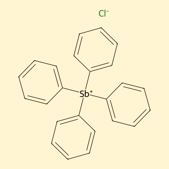 [Cl-].c1cc[c]([Sb+]([c]2ccccc2)([c]2ccccc2)[c]2ccccc2)cc1